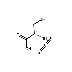 N=C=S.N[C@@H](CS)C(=O)O